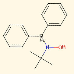 CC(C)(C)N(O)[SiH](c1ccccc1)c1ccccc1